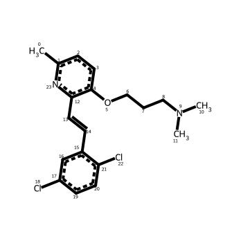 Cc1ccc(OCCCN(C)C)c(/C=C/c2cc(Cl)ccc2Cl)n1